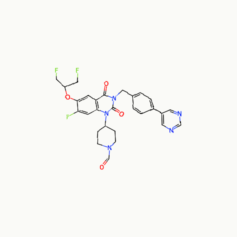 O=CN1CCC(n2c(=O)n(Cc3ccc(-c4cncnc4)cc3)c(=O)c3cc(OC(CF)CF)c(F)cc32)CC1